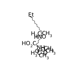 CCC=CCCCCCCCCC(C)(C)C(=O)NCCCC(CNC(=O)C1OC(C)(C)OCC1(C)C)C(=O)O